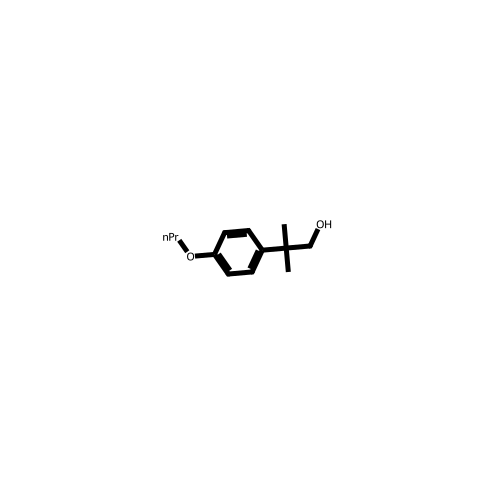 CCCOc1ccc(C(C)(C)CO)cc1